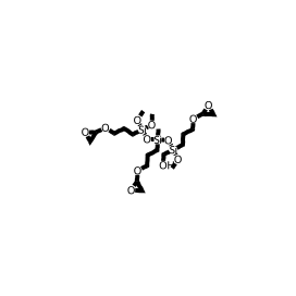 CO[Si](CO)(CCCOC1CO1)O[Si](C)(CCCOC1CO1)O[Si](CCCOC1CO1)(OC)OC